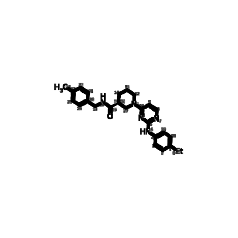 CCc1ccc(Nc2nccc(N3CCC[C@H](C(=O)NCc4ccc(C)cc4)C3)n2)cc1